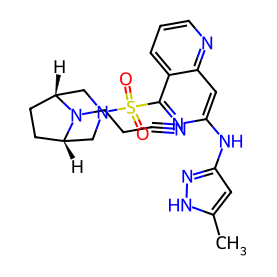 Cc1cc(Nc2cc3ncccc3c(S(=O)(=O)N3C[C@H]4CC[C@@H](C3)N4CCC#N)n2)n[nH]1